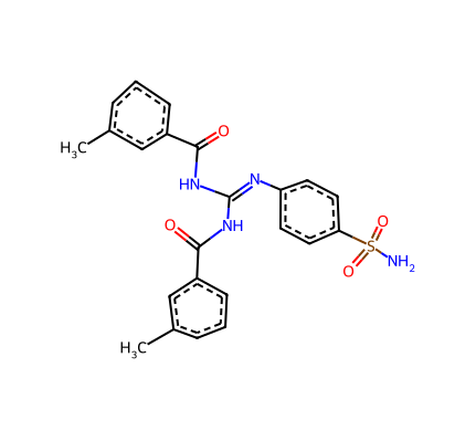 Cc1cccc(C(=O)NC(=Nc2ccc(S(N)(=O)=O)cc2)NC(=O)c2cccc(C)c2)c1